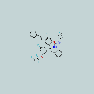 O=C(NC1CC(F)(F)C1)NC(Cc1ccccc1)(c1cc(F)cc(OC(F)(F)C(F)F)c1)c1ccc(F)c(C=Cc2ccccc2)c1